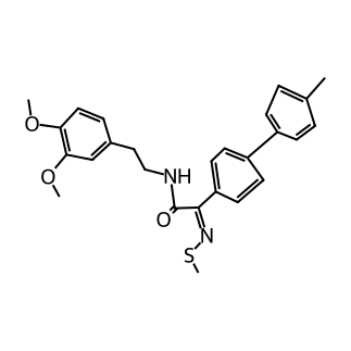 COc1ccc(CCNC(=O)/C(=N\SC)c2ccc(-c3ccc(C)cc3)cc2)cc1OC